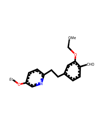 CCOc1ccc(CCc2ccc(C=O)c(OCOC)c2)nc1